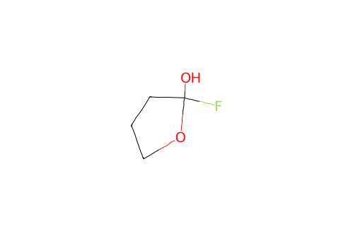 OC1(F)CCCO1